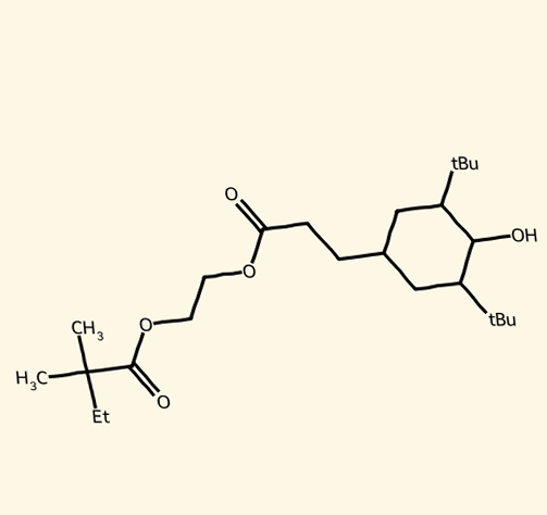 CCC(C)(C)C(=O)OCCOC(=O)CCC1CC(C(C)(C)C)C(O)C(C(C)(C)C)C1